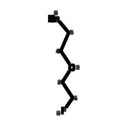 FCCOC[CH2][Sn]